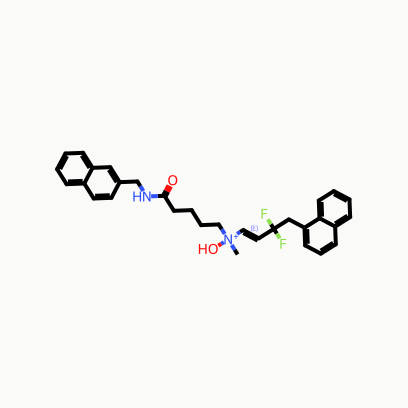 C[N+](O)(/C=C/C(F)(F)Cc1cccc2ccccc12)CCCCC(=O)NCc1ccc2ccccc2c1